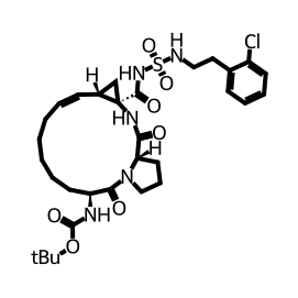 CC(C)(C)OC(=O)N[C@H]1CCCCC/C=C\[C@@H]2C[C@@]2(C(=O)NS(=O)(=O)NCCc2ccccc2Cl)NC(=O)[C@@H]2CCCN2C1=O